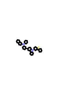 c1ccc(N(c2cccc(-c3ccc4c(c3)c3ccccc3n4-c3ccc4sc5ccccc5c4c3)c2)c2ccc3ccccc3c2)cc1